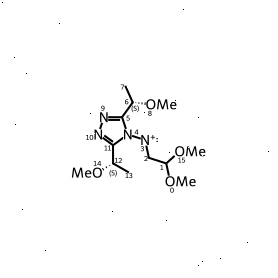 COC(C[N+]n1c([C@H](C)OC)nnc1[C@H](C)OC)OC